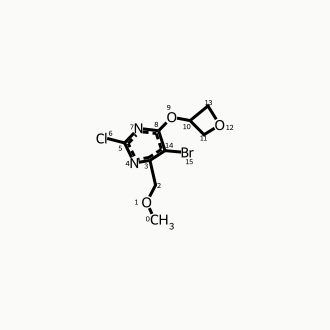 COCc1nc(Cl)nc(OC2COC2)c1Br